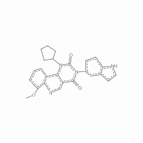 COc1cccc2c1ncc1c(=O)n(-c3ccc4[nH]ccc4c3)c(=O)n(C3CCCC3)c12